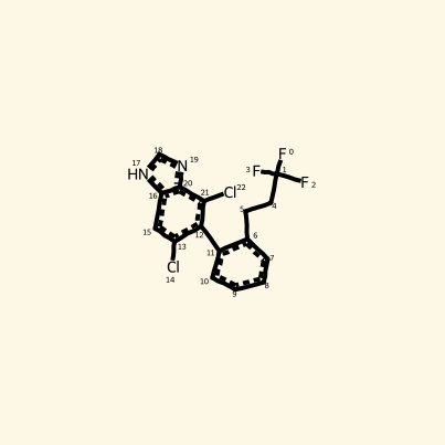 FC(F)(F)CCc1ccccc1-c1c(Cl)cc2[nH][c]nc2c1Cl